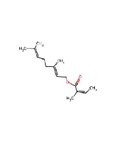 C/C=C(/C)C(=O)OC/C=C(\C)CCC=C(C)C